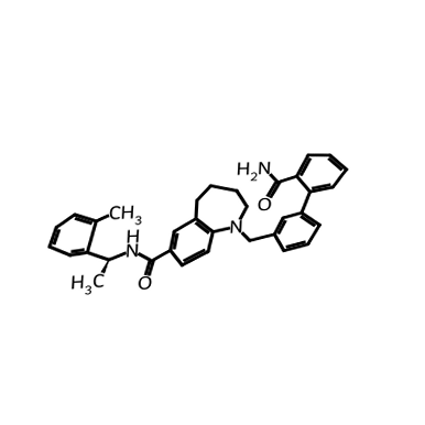 Cc1ccccc1[C@H](C)NC(=O)c1ccc2c(c1)CCCCN2Cc1cccc(-c2ccccc2C(N)=O)c1